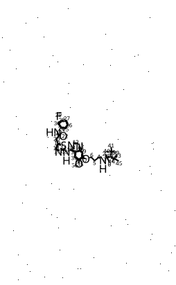 [CH2]C(C)(NCCCOc1cc2ncnc(Nc3ncc(CC(=O)Nc4cccc(F)c4)s3)c2cc1OC)C(C(C)(C)C)C(C)(C)C